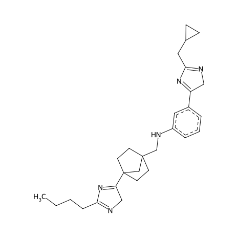 CCCCC1=NCC(C23CCC(CNc4cccc(C5=NC(CC6CC6)=NC5)c4)(CC2)C3)=N1